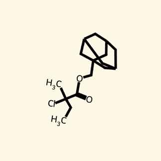 CCC(C)(Cl)C(=O)OCC12CC3CC(CC(C3)C1)C2